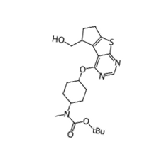 CN(C(=O)OC(C)(C)C)C1CCC(Oc2ncnc3sc4c(c23)C(CO)CC4)CC1